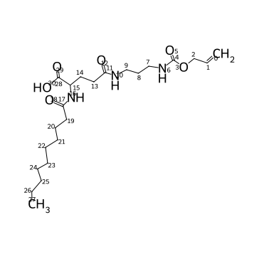 C=CCOC(=O)NCCCNC(=O)CCC(NC(=O)CCCCCCCCC)C(=O)O